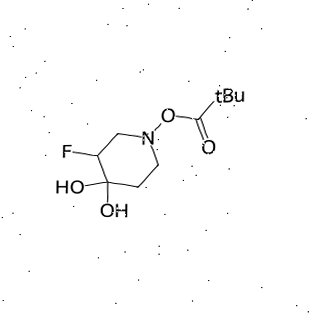 CC(C)(C)C(=O)ON1CCC(O)(O)C(F)C1